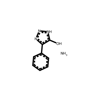 N.Oc1[nH]nnc1-c1ccccc1